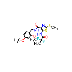 COc1ccc(CNC(=O)c2nc(SC)sc2NC(=O)C(C)(F)F)c(OC)c1